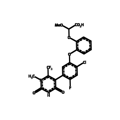 COC(Oc1ccccc1Oc1cc(-c2c(C(F)(F)F)n(C)c(=O)[nH]c2=O)c(F)cc1Cl)C(=O)O